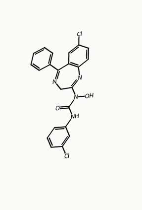 O=C(Nc1cccc(Cl)c1)N(O)C1=Nc2ccc(Cl)cc2C(c2ccccc2)=NC1